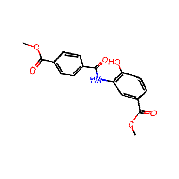 COC(=O)c1ccc(C(=O)Nc2cc(C(=O)OC)ccc2O)cc1